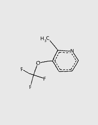 Cc1ncccc1OC(F)(F)F